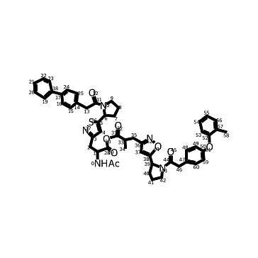 CC(=O)NC(Cc1cc(C2CCCN2C(=O)Cc2ccc(-c3ccccc3)cc2)sn1)C(=O)OC(=O)C(C)Cc1cc(C2CCCN2C(=O)Cc2ccc(Oc3ccccc3C)cc2)on1